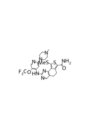 CSc1sc(C(N)=O)c2c1-c1nc(Nc3cc(N4CCN(C)CC4)ncc3OC(F)(F)F)ncc1CC2